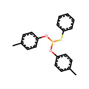 Cc1ccc(OP(Oc2ccc(C)cc2)Sc2ccccc2)cc1